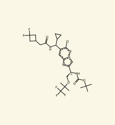 CC(C)(C)OC(=O)N[C@@H](COC(C)(C)C(F)(F)F)c1cn2nc(Cl)c(C(NC(=O)CC3CC(F)(F)C3)C3CC3)cc2n1